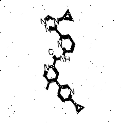 Cc1cnc(C(=O)Nc2cccc(-c3nncn3C3CC3)n2)cc1-c1ccc(C2CC2)nc1